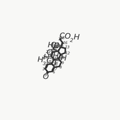 C[C@]12C=CC(=O)C=C1CC[C@H]1[C@@H]3CC[C@@](O)(CCC(=O)O)[C@@]34C[C@H](OC4O)[C@@]12F